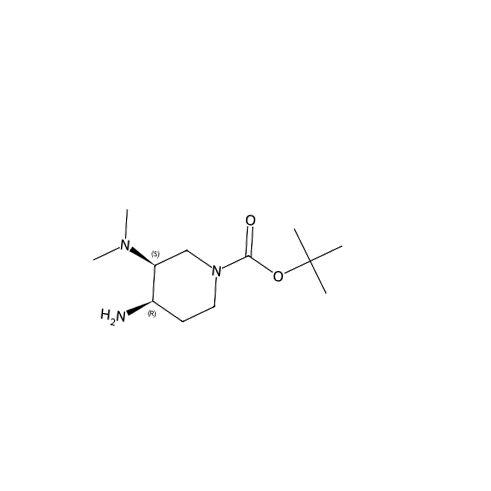 CN(C)[C@H]1CN(C(=O)OC(C)(C)C)CC[C@H]1N